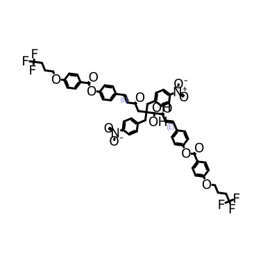 O=C(/C=C/c1ccc(OC(=O)c2ccc(OCCCC(F)(F)F)cc2)cc1)CC(Cc1ccc([N+](=O)[O-])cc1)(Cc1ccc([N+](=O)[O-])cc1)C(O)(O)C(=O)/C=C/c1ccc(OC(=O)c2ccc(OCCCC(F)(F)F)cc2)cc1